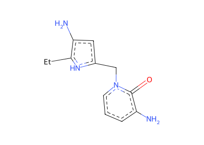 CCc1[nH]c(Cn2cccc(N)c2=O)cc1N